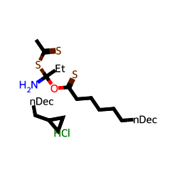 CCCCCCCCCCCC1CC1.CCCCCCCCCCCCCCCC(=S)OC(N)(CC)SC(C)=S.Cl